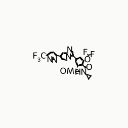 COc1cc(-c2cnc3cc(-c4ccc(C(F)(F)F)nn4)ccn23)cc(OC(F)F)c1C(=O)NC1CC1